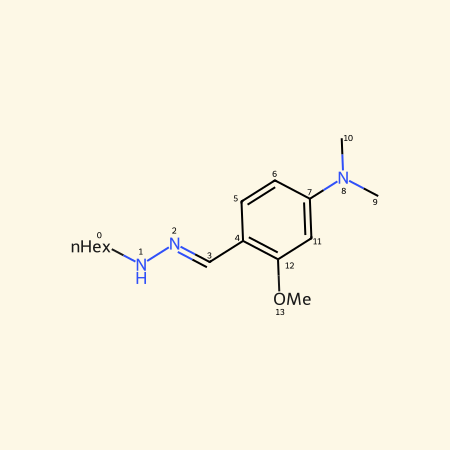 CCCCCCNN=Cc1ccc(N(C)C)cc1OC